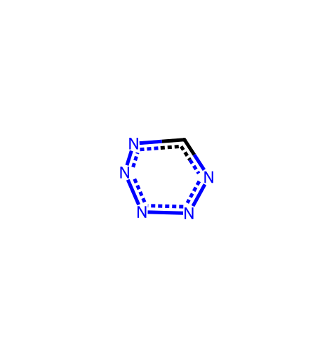 c1nnnnn1